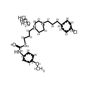 COc1ccc(NC(=O)SCCCN2CCN(CCCc3ccc(Cl)cc3)CC2)cc1.Cl.Cl.O